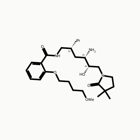 COCCCCOc1ccccc1C(=O)NC[C@@H](C[C@H](N)[C@@H](O)CN1CCC(C)(C)C1=O)C(C)C